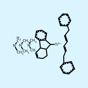 C(C=CCc1ccccc1)=CCc1ccccc1.C[N-]C.C[N-]C.C[N-]C.[Ti+3][CH]1c2ccccc2C2C=CCCC12